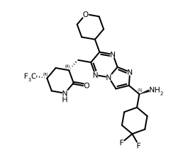 N[C@H](c1cn2nc(C[C@H]3C[C@@H](C(F)(F)F)CNC3=O)c(C3CCOCC3)nc2n1)C1CCC(F)(F)CC1